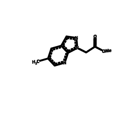 COC(=O)Cn1ncc2cc(C)cnc21